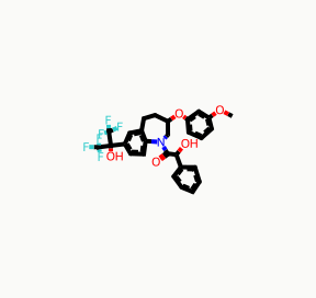 COc1cccc(OC2CCc3cc(C(O)(C(F)(F)F)C(F)(F)F)ccc3N(C(=O)C(O)c3ccccc3)C2)c1